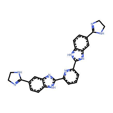 c1cc(-c2nc3cc(C4=NCCN4)ccc3[nH]2)nc(-c2nc3cc(C4=NCCN4)ccc3[nH]2)c1